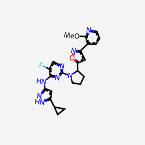 COc1ncccc1-c1cc(C2CCCN2c2ncc(F)c(Nc3cc(C4CC4)[nH]n3)n2)on1